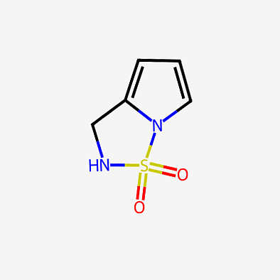 O=S1(=O)NCc2cccn21